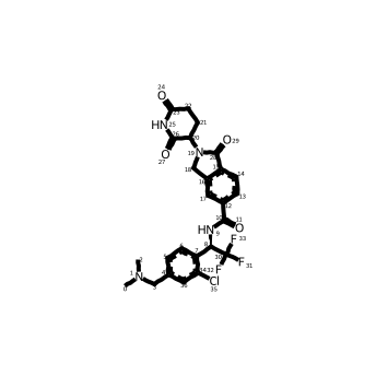 CN(C)Cc1ccc([C@@H](NC(=O)c2ccc3c(c2)CN(C2CCC(=O)NC2=O)C3=O)C(F)(F)F)c(Cl)c1